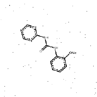 COc1ccccc1NC(=O)Nc1ncncn1